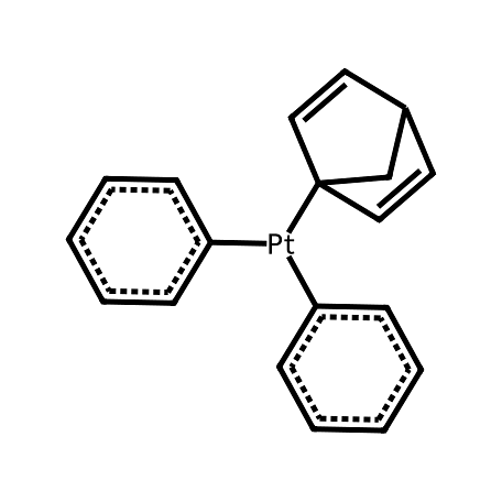 C1=C[C]2([Pt]([c]3ccccc3)[c]3ccccc3)C=CC1C2